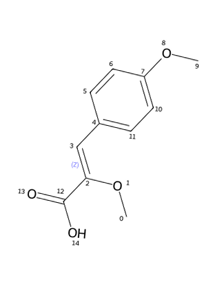 CO/C(=C\c1ccc(OC)cc1)C(=O)O